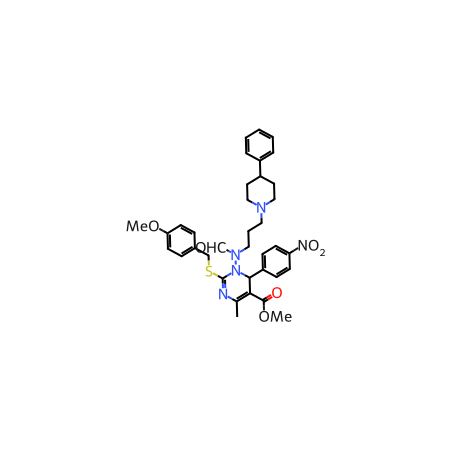 COC(=O)C1=C(C)N=C(SCc2ccc(OC)cc2)N(N(C=O)CCCN2CCC(c3ccccc3)CC2)C1c1ccc([N+](=O)[O-])cc1